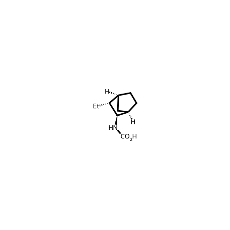 CC[C@@H]1[C@H]2CC[C@H](C2)[C@H]1NC(=O)O